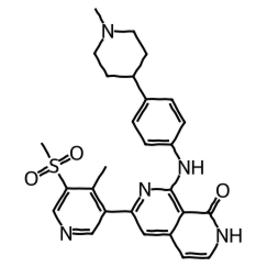 Cc1c(-c2cc3cc[nH]c(=O)c3c(Nc3ccc(C4CCN(C)CC4)cc3)n2)cncc1S(C)(=O)=O